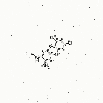 CNc1cc(Sc2ccc(Cl)cc2Cl)c(Cl)cc1N